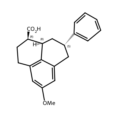 COc1cc2c3c(c1)C[C@@H](c1ccccc1)C[C@@H]3[C@H](C(=O)O)CC2